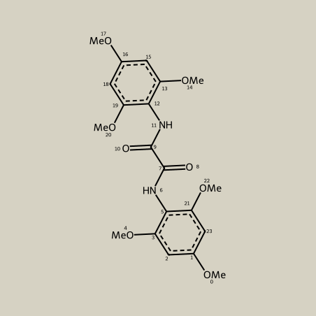 COc1cc(OC)c(NC(=O)C(=O)Nc2c(OC)cc(OC)cc2OC)c(OC)c1